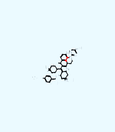 COc1ccc(CO[C@H]2CC(C)(C)Cc3nc(C4CCN(c5ncc(O)cn5)CC4)c(C(F)c4ccc(C(F)(F)F)cc4)c(C4CCC(F)(F)CC4)c32)cc1